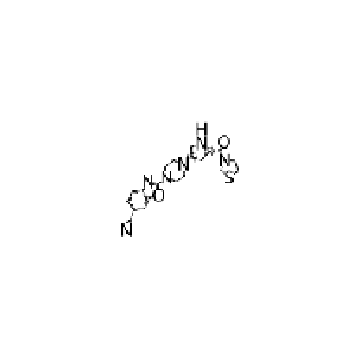 N#Cc1ccc2nc(N3CCN([C@@H]4CN[C@H](C(=O)N5CCSC5)C4)CC3)oc2c1